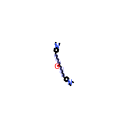 CCN(CC)c1ccc(/C=C/C=C/C=C/C(=O)/C=C/C=C/C=C/c2ccc(N(CC)CC)cc2)cc1